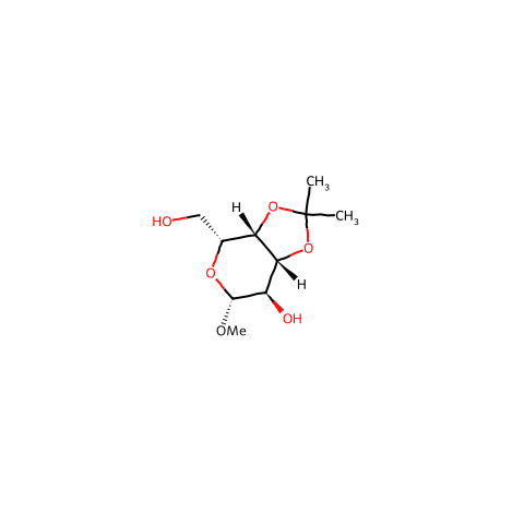 CO[C@@H]1O[C@H](CO)[C@@H]2OC(C)(C)O[C@@H]2[C@H]1O